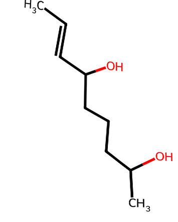 CC=CC(O)CCCC(C)O